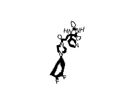 O=C1NC(=O)C(CCC(=O)N2CCN(c3ccc(F)c(F)c3)CC2)(c2cccnc2)N1